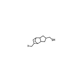 SCC1CC2C3CC(CI)C(C3)C2C1